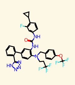 O=C(Nc1ccc(C2CC2)c(F)c1)Nc1cc(-c2ccccc2-c2nnn[nH]2)ccc1N(CCC(F)(F)F)Cc1ccc(OC(F)(F)F)cc1